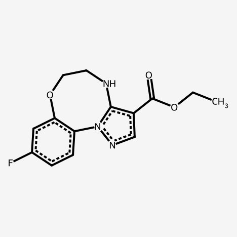 CCOC(=O)c1cnn2c1NCCOc1cc(F)ccc1-2